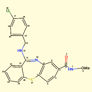 CONC(=O)c1ccc2c(c1)N=C(NCc1ccc(Cl)cc1)c1ccccc1S2